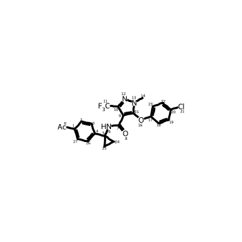 CC(=O)c1ccc(C2(NC(=O)c3c(C(F)(F)F)nn(C)c3Oc3ccc(Cl)cc3)CC2)cc1